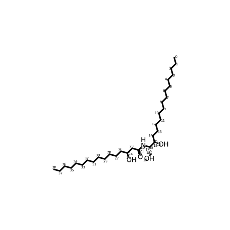 CCCCCCCCCCCCCCC[C@@H](O)[C@H](CO)NC(=O)CC(O)CCCCCCCCCCCCC